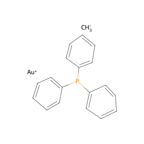 [Au+].[CH3-].c1ccc(P(c2ccccc2)c2ccccc2)cc1